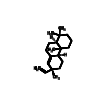 C=C[C@]1(C)C=C2CC[C@H]3C(C)(C)CCC[C@]3(C)[C@H]2CC1